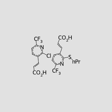 CCCSc1nc(C(F)(F)F)ccc1C=CC(=O)O.O=C(O)C=Cc1ccc(C(F)(F)F)nc1Cl